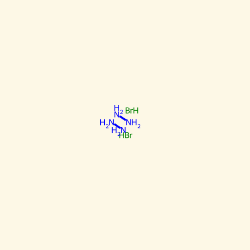 Br.Br.NN.NN